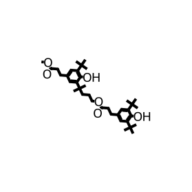 COC(=O)CCc1cc(C(C)(C)C)c(O)c(C(C)(C)CCCOC(=O)CCc2cc(C(C)(C)C)c(O)c(C(C)(C)C)c2)c1